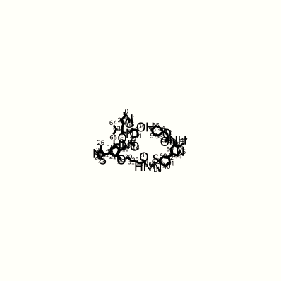 Cc1cc([C@H](C(=O)N2C[C@H](O)C[C@H]2C(=O)NCc2ccc(-c3scnc3C)cc2OCCCCC(=O)Nc2nc3ccc(-c4cnc(C)c(NC(=O)OC5CCCCC5)c4)cc3s2)C(C)C)on1